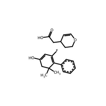 CC1(C)CC(O)=CC(F)=C1c1ccccc1.O=C(O)CC1C=COCC1